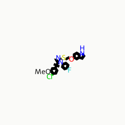 COc1cc(C(C)(C)c2cnc(SCCOc3ccc4[nH]ccc4c3)n2-c2ccc(F)cc2)ccc1Cl